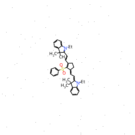 CCN1/C(=C/C=C2\CCC(/C=C/C3=[N+](CC)c4ccccc4C3(C)C)=C2S(=O)(=O)c2ccccc2)C(C)(C)c2ccccc21